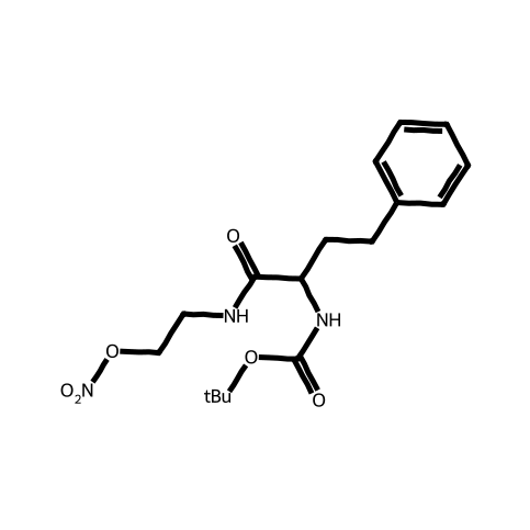 CC(C)(C)OC(=O)NC(CCc1ccccc1)C(=O)NCCO[N+](=O)[O-]